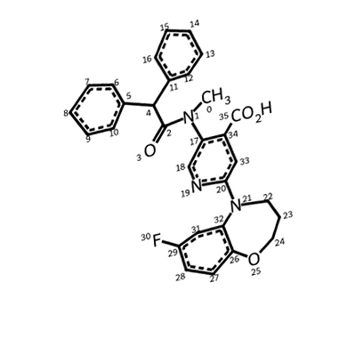 CN(C(=O)C(c1ccccc1)c1ccccc1)c1cnc(N2CCCOc3ccc(F)cc32)cc1C(=O)O